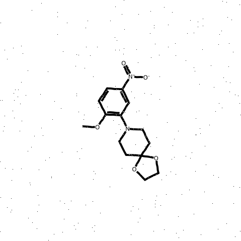 COc1ccc([N+](=O)[O-])cc1N1CCC2(CC1)OCCO2